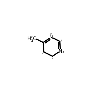 CC1=NC=NCC1